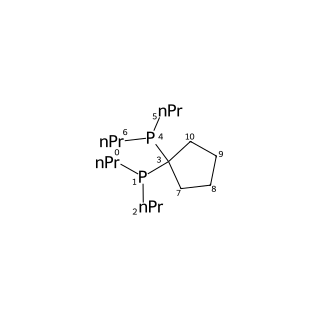 CCCP(CCC)C1(P(CCC)CCC)CCCC1